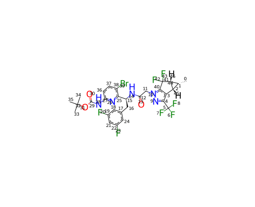 C[C@@H]1[C@@H]2c3c(C(F)(F)F)nn(CC(=O)N[C@@H](Cc4cc(F)cc(F)c4)c4nc(NC(=O)OC(C)(C)C)ccc4Br)c3C(F)(F)[C@H]12